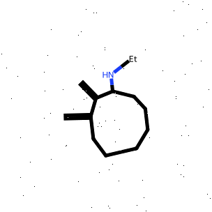 C=C1CCCCCCC(NCC)C1=C